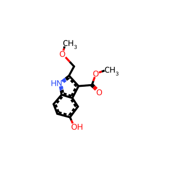 COCc1[nH]c2ccc(O)cc2c1C(=O)OC